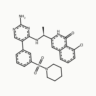 C[C@H](Nc1nc(N)ncc1-c1cccc(S(=O)(=O)N2CCCCC2)c1)c1cc2cccc(Cl)c2c(=O)[nH]1